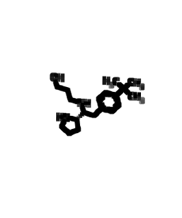 CC(C)(C)c1ccc(CC(NCCCO)[C@@H]2CCCN2)cc1